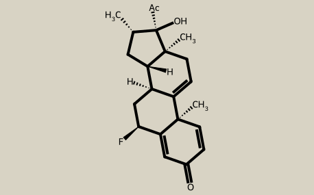 CC(=O)[C@@]1(O)[C@@H](C)C[C@H]2[C@@H]3C[C@H](F)C4=CC(=O)C=C[C@]4(C)C3=CC[C@@]21C